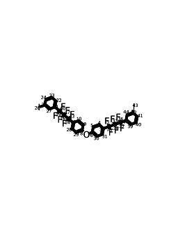 FC(F)(c1ccc(Oc2ccc(C(F)(F)C(F)(F)C(F)(F)c3cccc(I)c3)cc2)cc1)C(F)(F)C(F)(F)c1cccc(I)c1